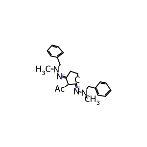 CC(=O)C1/C(=N/N(C)Cc2ccccc2)CCC/C1=N\N(C)Cc1ccccc1